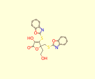 O=C1OC(CCO)(CSc2nc3ccccc3o2)C(Sc2nc3ccccc3o2)=C1O